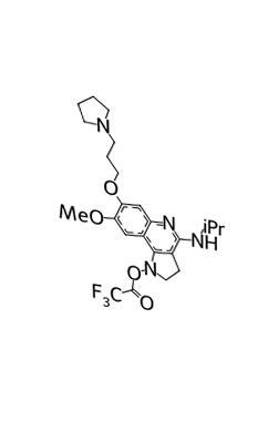 COc1cc2c3c(c(NC(C)C)nc2cc1OCCCN1CCCC1)CCN3OC(=O)C(F)(F)F